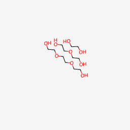 OCCO.OCCOCCO.OCCOCCOCCO